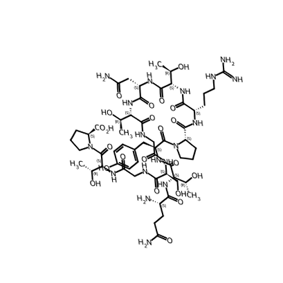 C[C@@H](O)[C@H](NC(=O)[C@H](CC(N)=O)NC(=O)[C@@H](NC(=O)[C@H](CCCNC(=N)N)NC(=O)[C@@H]1CCCN1C(=O)[C@H](Cc1ccc(O)cc1)NC(=O)[C@@H](NC(=O)[C@@H](N)CCC(N)=O)[C@@H](C)O)[C@@H](C)O)C(=O)NCC(=O)N[C@@H](CO)C(=O)NCC(=O)N[C@H](C(=O)N1CCC[C@H]1C(=O)O)[C@@H](C)O